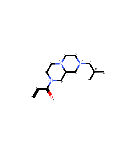 C=CC(=O)N1CCN2CCN(CC(C)C)CC2C1